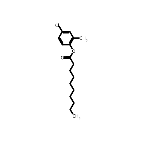 CCCCCCCCCC(=O)Oc1ccc(Cl)cc1C